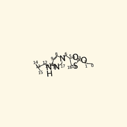 CCO[C@H]1OC(CN2C=CC(NCC(C)C)=NC2)CS1